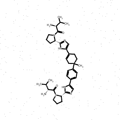 CC(C)[C@H](N)C(=O)N1CCC[C@H]1c1ncc(C2=CCC(C)(c3ccc(-c4cnc([C@@H]5CCCN5C(=O)[C@H](N)C(C)C)[nH]4)cc3)CC2)[nH]1